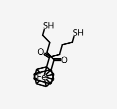 O=C(CCCS)[C]12[CH]3[CH]4[CH]5[CH]1[Fe]45321678[CH]2[CH]1[CH]6[C]7(C(=O)CCCS)[CH]28